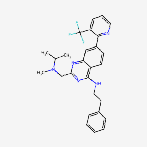 CC(C)N(C)Cc1nc(NCCc2ccccc2)c2ccc(-c3ncccc3C(F)(F)F)cc2n1